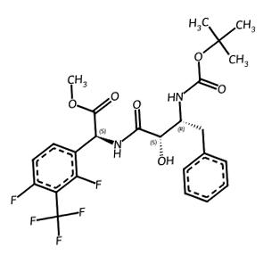 COC(=O)[C@@H](NC(=O)[C@@H](O)[C@@H](Cc1ccccc1)NC(=O)OC(C)(C)C)c1ccc(F)c(C(F)(F)F)c1F